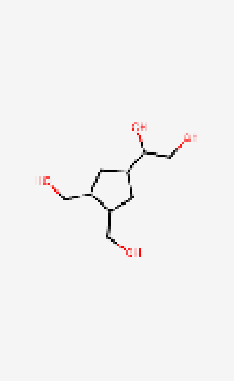 OCC(O)C1CC(CO)C(CO)C1